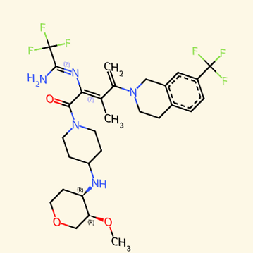 C=C(/C(C)=C(\N=C(/N)C(F)(F)F)C(=O)N1CCC(N[C@@H]2CCOC[C@@H]2OC)CC1)N1CCc2ccc(C(F)(F)F)cc2C1